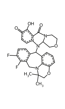 CC1(C)COc2cccc3c2N1Cc1c(ccc(F)c1F)C3N1C2COCCN2C(=O)c2c(O)c(=O)ccn21